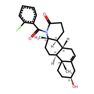 C[C@]12CC[C@H](O)CC1=CC[C@@H]1[C@@H]2CC[C@@]2(C)[C@H]1CCC(=O)N2C(=O)c1ccccc1F